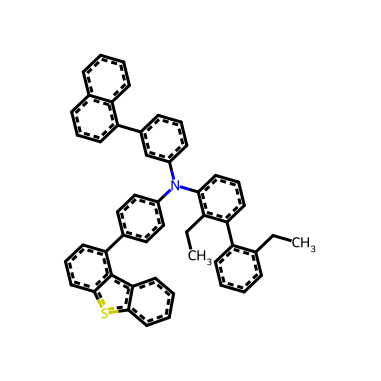 CCc1ccccc1-c1cccc(N(c2ccc(-c3cccc4sc5ccccc5c34)cc2)c2cccc(-c3cccc4ccccc34)c2)c1CC